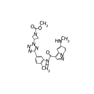 CNc1ccn2ncc(C(=O)Nc3cc(-c4nnn(C5CN(C(=O)OC)C5)n4)ccc3C)c2c1